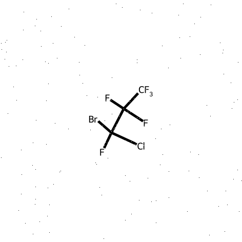 FC(F)(F)C(F)(F)C(F)(Cl)Br